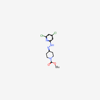 CC(C)(C)OC(=O)N1CCC(=NNc2cc(Cl)cc(Cl)n2)CC1